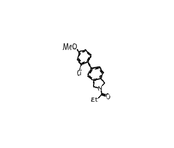 CCC(=O)N1Cc2ccc(-c3ccc(OC)cc3Cl)cc2C1